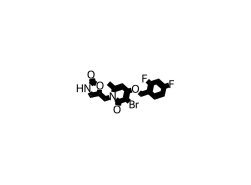 Cc1cc(OCc2ccc(F)cc2F)c(Br)c(=O)n1CC1CNC(=O)O1